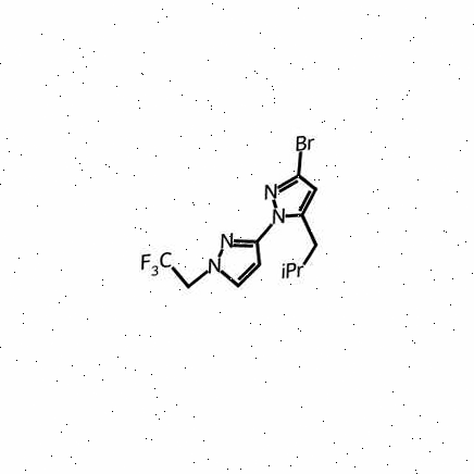 CC(C)Cc1cc(Br)nn1-c1ccn(CC(F)(F)F)n1